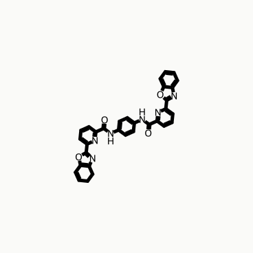 O=C(Nc1ccc(NC(=O)c2cccc(-c3nc4ccccc4o3)n2)cc1)c1cccc(-c2nc3c(o2)C=CCC3)n1